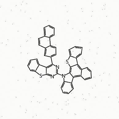 c1ccc2c(c1)ccc1cc(-c3nc(-n4c5ccccc5c5c6ccccc6c6c7ccccc7sc6c54)nc4sc5ccccc5c34)ccc12